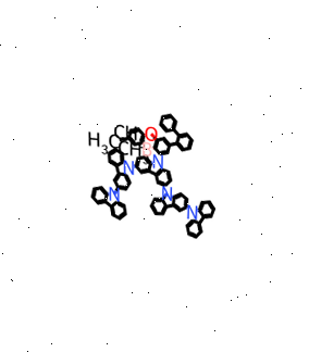 CC(C)(C)c1ccc2c(c1)B1c3c(cc(-c4ccccc4-c4ccccc4)cc3-n3c4ccc(-n5c6ccccc6c6cc(-n7c8ccccc8c8ccccc87)ccc65)cc4c4cc(-n5c6ccccc6c6cc(-n7c8ccccc8c8ccccc87)ccc65)cc1c43)O2